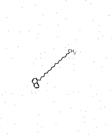 [CH2]CCCCCCCCCCCCCCCCCc1cccc2ccccc12